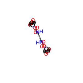 C=C1C(=O)O[C@H]2[C@H]1CC/C(COC(=O)CCC(=O)NCCCCCCCCCCNC(=O)CCC(=O)OC/C1=C/CC[C@@]3(C)O[C@H]3[C@H]3OC(=O)C(=C)[C@@H]3CC1)=C\CC[C@@]1(C)O[C@@H]21